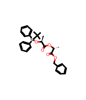 C[C@H](O[Si](c1ccccc1)(c1ccccc1)C(C)(C)C)C(=O)O[C@H](C)C(=O)OCc1ccccc1